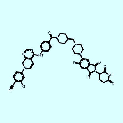 N#Cc1ccc(N2C=Cc3c(ncnc3Nc3ccc(C(=O)N4CCC(CN5CCN(c6cc7c(cc6F)C(=O)N(C6CCC(=O)NC6=O)C7=O)CC5)CC4)cc3)C2)cc1Cl